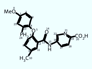 COc1ccc(Oc2ccc(C)cc2C(=O)Nc2ccc(C(=O)O)nc2)c(P)c1